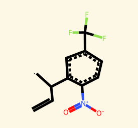 [CH2]C(C=C)c1cc(C(F)(F)F)ccc1[N+](=O)[O-]